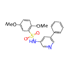 COc1ccc(OC)c(S(=O)(=O)Nc2cncc(-c3ccccc3)c2)c1